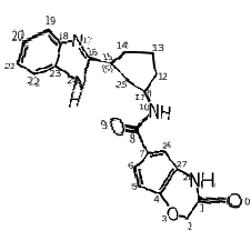 O=C1COc2ccc(C(=O)N[C@@H]3CCC[C@H](c4nc5ccccc5[nH]4)C3)cc2N1